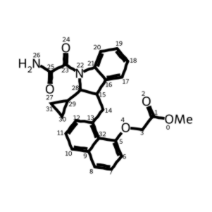 COC(=O)COc1cccc2cccc(CC3c4ccccc4N(C(=O)C(N)=O)C3C3CC3)c12